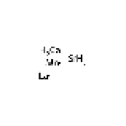 [CaH2].[La].[Mn].[SrH2]